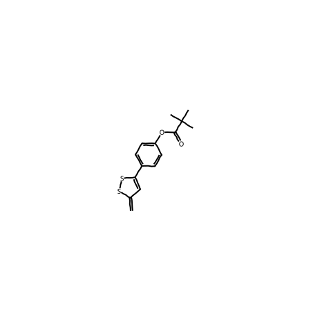 C=C1C=C(c2ccc(OC(=O)C(C)(C)C)cc2)SS1